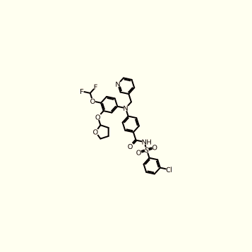 O=C(NS(=O)(=O)c1cccc(Cl)c1)c1ccc(N(Cc2cccnc2)c2ccc(OC(F)F)c(OC3CCCO3)c2)cc1